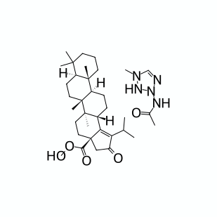 CC(=O)NN1N=CN(C)N1.CC(C)C1=C2[C@H]3CC[C@@H]4[C@@]5(C)CCCC(C)(C)[C@@H]5CC[C@@]4(C)[C@]3(C)CC[C@@]2(C(=O)OO)CC1=O